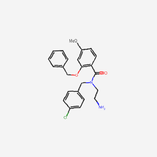 COc1ccc(C(=O)N(CCN)Cc2ccc(Cl)cc2)c(OCc2ccccc2)c1